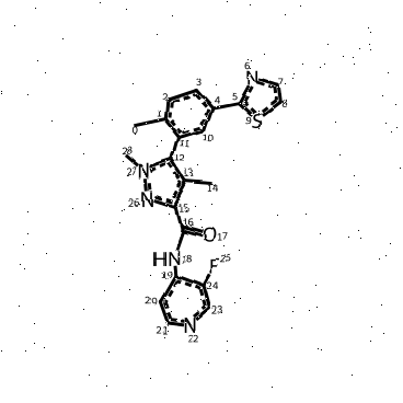 Cc1ccc(-c2nccs2)cc1-c1c(C)c(C(=O)Nc2ccncc2F)nn1C